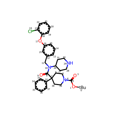 CC(C)(C)OC(=O)N1CCC(C(=O)N(Cc2cccc(Oc3ccccc3Cl)c2)C2CCNCC2)(c2ccccc2)CC1